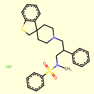 CN(CC(CN1CCC2(CC1)CSc1ccccc12)c1ccccc1)S(=O)(=O)c1ccccc1.Cl